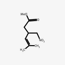 COC(=O)CC(C=C(C)C)C[N+](=O)[O-]